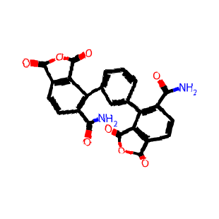 NC(=O)c1ccc2c(c1-c1cccc(-c3c(C(N)=O)ccc4c3C(=O)OC4=O)c1)C(=O)OC2=O